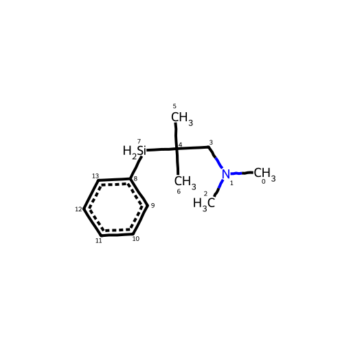 CN(C)CC(C)(C)[SiH2]c1ccccc1